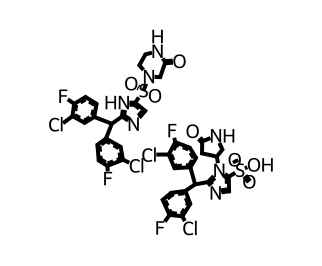 O=C1CC(n2c(S(=O)(=O)O)cnc2C(c2ccc(F)c(Cl)c2)c2ccc(F)c(Cl)c2)CN1.O=C1CN(S(=O)(=O)c2cnc(C(c3ccc(F)c(Cl)c3)c3ccc(F)c(Cl)c3)[nH]2)CCN1